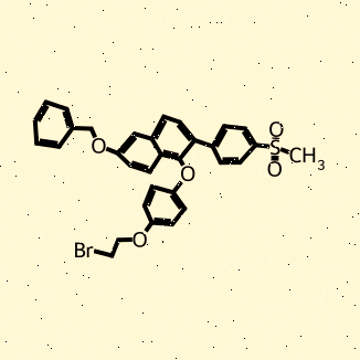 CS(=O)(=O)c1ccc(-c2ccc3cc(OCc4ccccc4)ccc3c2Oc2ccc(OCCBr)cc2)cc1